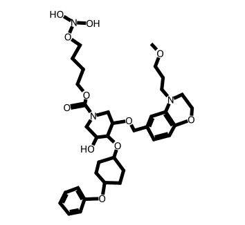 COCCCN1CCOc2ccc(COC3CN(C(=O)OCCCCON(O)O)CC(O)C3OC3CCC(Oc4ccccc4)CC3)cc21